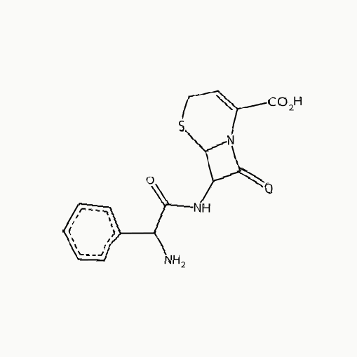 NC(C(=O)NC1C(=O)N2C(C(=O)O)=CCSC12)c1ccccc1